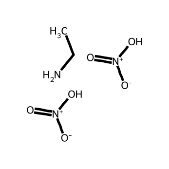 CCN.O=[N+]([O-])O.O=[N+]([O-])O